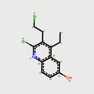 CCc1c(CCBr)c(Br)nc2ccc(O)cc12